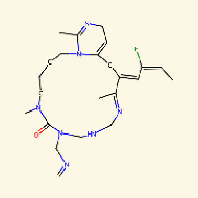 C=NCN1CNC/N=C(C)/C(=C/C(F)=C\C)CC2=CCN=C(C)N2CCCCN(C)C1=O